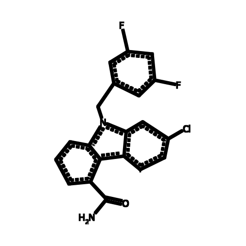 NC(=O)c1cccc2c1c1[c]cc(Cl)cc1n2Cc1cc(F)cc(F)c1